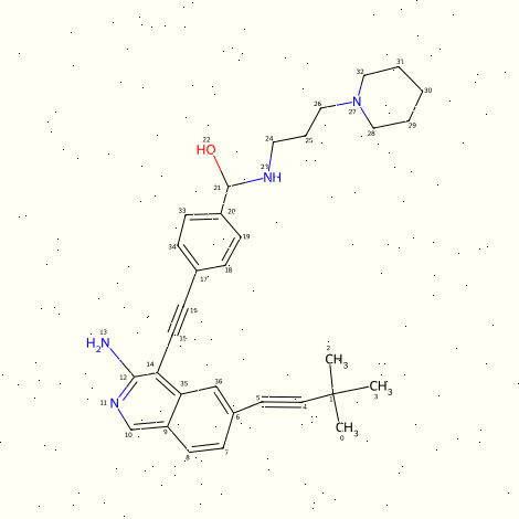 CC(C)(C)C#Cc1ccc2cnc(N)c(C#Cc3ccc(C(O)NCCCN4CCCCC4)cc3)c2c1